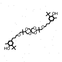 Cc1cc(CCCOCC(C)(C)C2COC3(CO2)COC(C(C)(C)COCCCc2cc(C)c(O)c(C(C)(C)C)c2)OC3)cc(C(C)(C)C)c1O